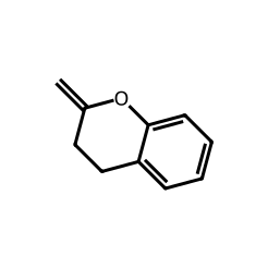 C=C1CCc2ccccc2O1